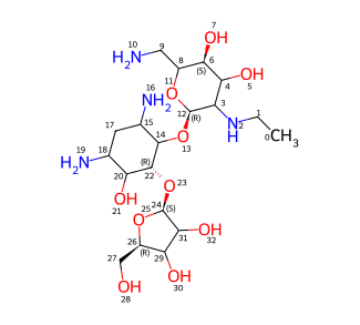 CCNC1C(O)[C@H](O)C(CN)O[C@@H]1OC1C(N)CC(N)C(O)[C@H]1O[C@@H]1O[C@H](CO)C(O)C1O